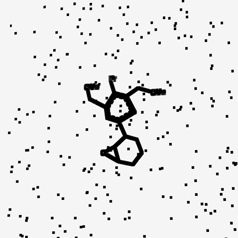 COCc1cc(C2CCCC3OC32)cc(COC)c1C(C)C